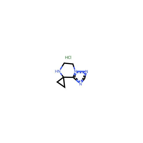 Cl.c1nc2n(n1)CCNC21CC1